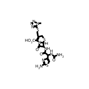 Cn1nnnc1SCC1=C(C(=O)O)N2C(=O)C(NC(=O)C(NC(N)=O)c3csc(N)n3)[C@@H]2SC1